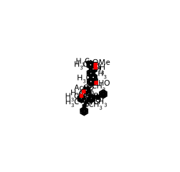 COC(=O)[C@]12CCC(C)(C)CC1C1=CCC3C4(C)CC[C@H](O[C@@H]5OC(C(C)=O)[C@@H](C)[C@H](O[C@@H]6OC[C@@H](C)[C@H](C)C6C)C5O[C@@H]5OC(COCc6ccccc6)[C@H](C)[C@H](C)C5OC(=O)c5ccccc5)[C@](C)(C=O)[C@@H]4CC[C@]3(C)[C@]1(C)CC2O